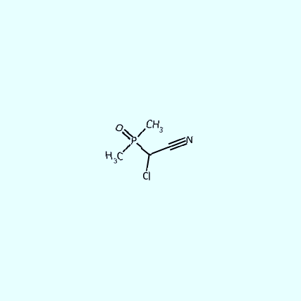 CP(C)(=O)C(Cl)C#N